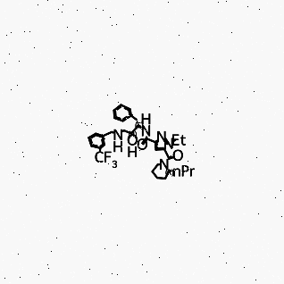 CCC[C@@H]1CCCCN1C(=O)c1cc(C(=O)N[C@@H](Cc2ccccc2)[C@H](O)CNCc2cccc(C(F)(F)F)c2)nn1CC